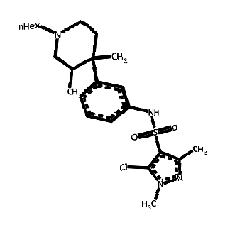 CCCCCCN1CCC(C)(c2cccc(NS(=O)(=O)c3c(C)nn(C)c3Cl)c2)C(C)C1